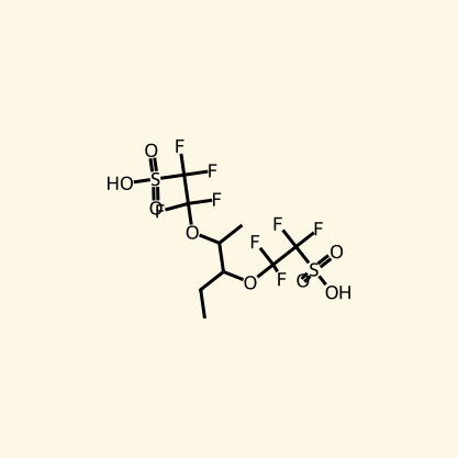 CCC(OC(F)(F)C(F)(F)S(=O)(=O)O)C(C)OC(F)(F)C(F)(F)S(=O)(=O)O